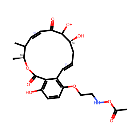 CC(=O)ONCCOc1ccc(O)c2c1/C=C/C[C@H](O)C(O)C(=O)/C=C\C(C)[C@H](C)OC2=O